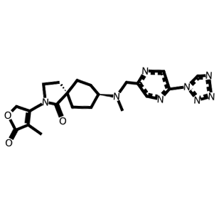 CC1=C(N2CC[C@]3(CC[C@H](N(C)Cc4cnc(-n5cnnn5)cn4)CC3)C2=O)COC1=O